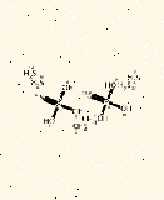 C.C.OP(O)(O)=S.OP(O)(O)=S.S.S.S.S